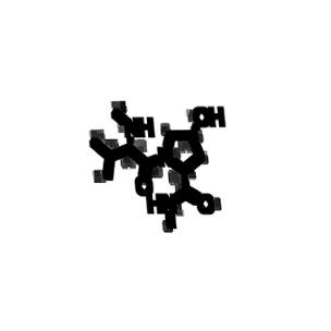 CNC(=O)[C@@H]1C[C@@H](O)CN1C(=O)[C@@H](NC)C(C)C